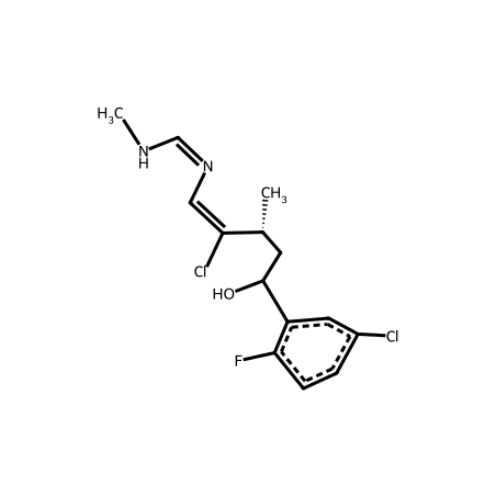 CN/C=N\C=C(\Cl)[C@H](C)CC(O)c1cc(Cl)ccc1F